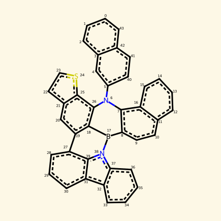 c1ccc2cc(N3c4c(ccc5ccccc45)B4c5c(cc6ccsc6c53)-c3cccc5c6ccccc6n4c35)ccc2c1